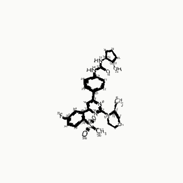 C[C@H]1COCCN1c1nc(-c2ccc(NC(=O)N[C@H]3CCC[C@@H]3O)cc2)cc(-c2cc(F)ccc2S(C)(=O)=O)n1